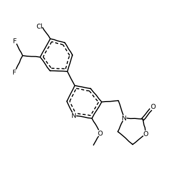 COc1ncc(-c2ccc(Cl)c(C(F)F)c2)cc1CN1CCOC1=O